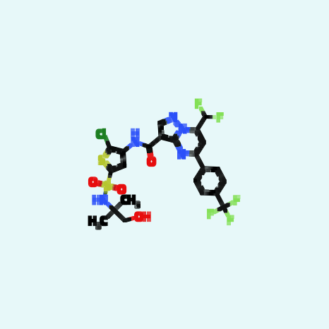 CC(C)(CO)NS(=O)(=O)c1cc(NC(=O)c2cnn3c(C(F)F)cc(-c4ccc(C(F)(F)F)cc4)nc23)c(Cl)s1